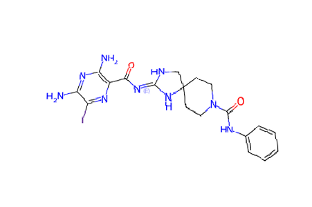 Nc1nc(N)c(C(=O)/N=C2\NCC3(CCN(C(=O)Nc4ccccc4)CC3)N2)nc1I